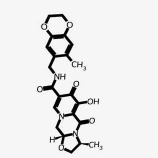 Cc1cc2c(cc1CNC(=O)c1cn3c(c(O)c1=O)C(=O)N1[C@@H](C)CO[C@@H]1C3)OCCO2